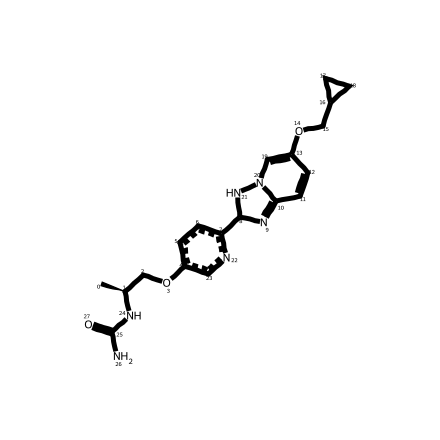 C[C@@H](COc1ccc(C2N=C3C=CC(OCC4CC4)=CN3N2)nc1)NC(N)=O